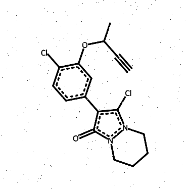 C#CC(C)Oc1cc(-c2c(Cl)n3n(c2=O)CCCC3)ccc1Cl